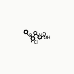 Cc1cc(OCc2ccccc2)c(C2=C(c3cccc(C(=O)O)n3)CCC2)cc1Cl